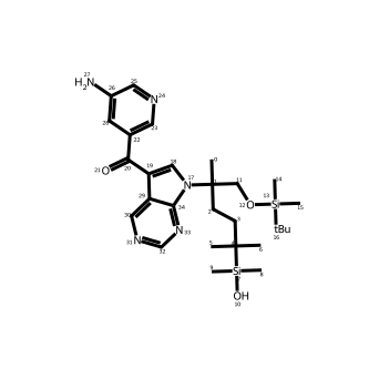 CC(CCC(C)(C)[Si](C)(C)O)(CO[Si](C)(C)C(C)(C)C)n1cc(C(=O)c2cncc(N)c2)c2cncnc21